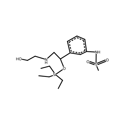 CC[Si](CC)(CC)OC(CNCCO)c1cccc(NS(C)(=O)=O)c1